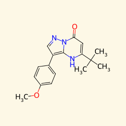 COc1ccc(-c2cnn3c(=O)cc(C(C)(C)C)[nH]c23)cc1